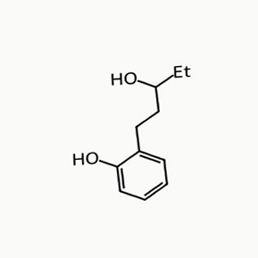 CCC(O)CCc1ccccc1O